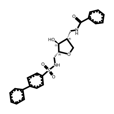 O=C(NC[C@@H]1CO[C@H](CNS(=O)(=O)c2ccc(-c3ccccc3)cc2)[C@H]1O)c1ccccc1